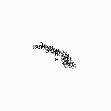 CCc1nc2ccc(-c3cnc(N4CCC(C(=O)NC5CN(C(=O)OC(C)(C)C)C5)CC4)nc3)cn2c1N(C)c1nc(-c2ccc(F)cc2)c(C#N)s1